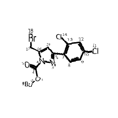 CC(C)(C)OC(=O)n1nc(-c2ccc(Cl)cc2Cl)cc1CBr